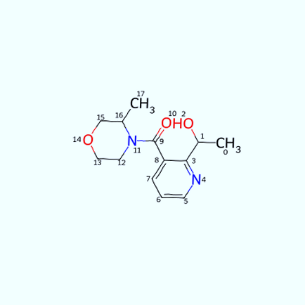 CC(O)c1ncccc1C(=O)N1CCOCC1C